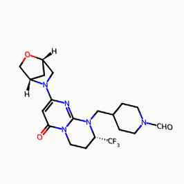 O=CN1CCC(CN2c3nc(N4C[C@@H]5C[C@H]4CO5)cc(=O)n3CC[C@H]2C(F)(F)F)CC1